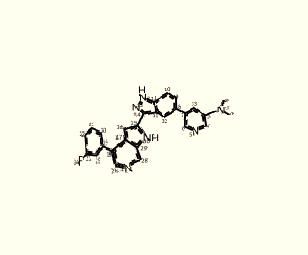 CN(C)c1cncc(-c2ccc3[nH]nc(-c4cc5c(-c6cccc(F)c6)cncc5[nH]4)c3c2)c1